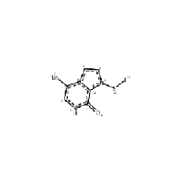 O=c1[nH]cc(Br)c2ccn(SI)c12